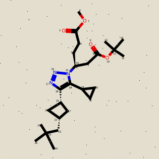 COC(=O)CC[C@@H](CC(=O)OC(C)(C)C)n1nnc([C@H]2C[C@@H](CC(C)(C)C)C2)c1C1CC1